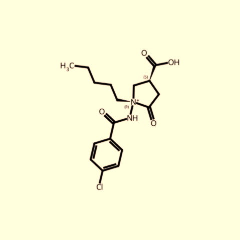 CCCCC[N@@+]1(NC(=O)c2ccc(Cl)cc2)C[C@@H](C(=O)O)CC1=O